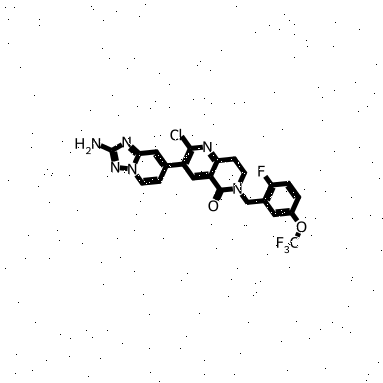 Nc1nc2cc(-c3cc4c(nc3Cl)CCN(Cc3cc(OC(F)(F)F)ccc3F)C4=O)ccn2n1